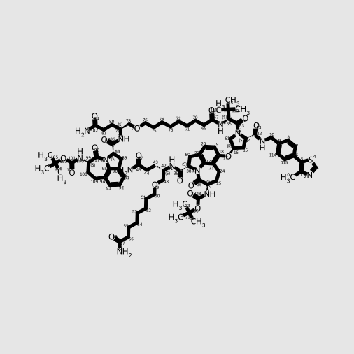 Cc1ncsc1-c1ccc(CNC(=O)[C@@H]2C[C@@H](Oc3ccc4c5c3CC[C@H](NC(=O)OC(C)(C)C)C(=O)N5[C@H](C(=O)N[C@@H](CCC(N)=O)COCCCCCCCC(N)=O)C4)CN2C(=O)[C@@H](NC(=O)CCCCCCCCOC[C@H](CCC(N)=O)NC(=O)[C@@H]2Cc3cccc4c3N2C(=O)[C@@H](NC(=O)OC(C)(C)C)CC4)C(C)(C)C)cc1